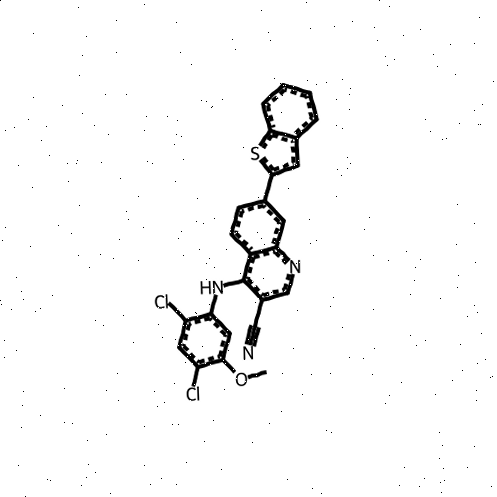 COc1cc(Nc2c(C#N)cnc3cc(-c4cc5ccccc5s4)ccc23)c(Cl)cc1Cl